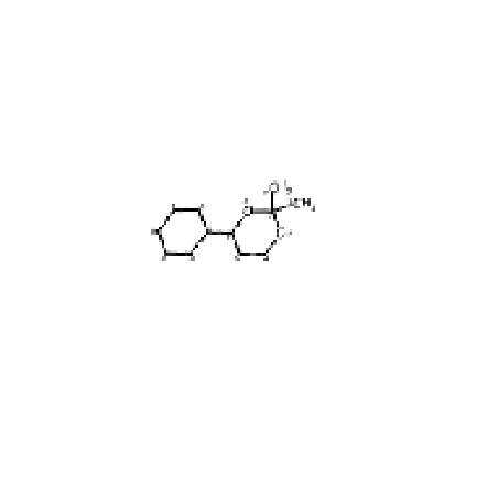 CC1(C)OCCC(C2CCCCC2)O1